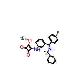 C[C@@H](NC(c1ccc(F)cc1)c1cccc(Nc2c(OC(C)(C)C)c(=O)c2=O)c1)c1ccccc1